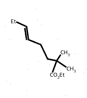 CCC=CCCC(C)(C)C(=O)OCC